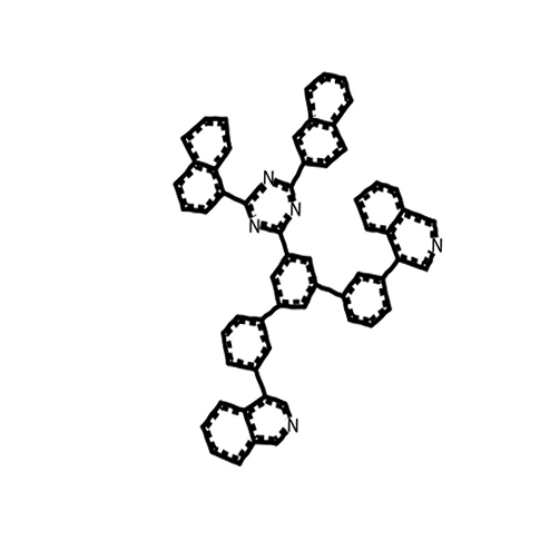 c1cc(-c2cc(-c3cccc(-c4cncc5ccccc45)c3)cc(-c3nc(-c4ccc5ccccc5c4)nc(-c4cccc5ccccc45)n3)c2)cc(-c2cncc3ccccc23)c1